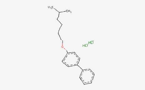 CC(C)CCCCOc1ccc(-c2ccccc2)cc1.Cl.Cl